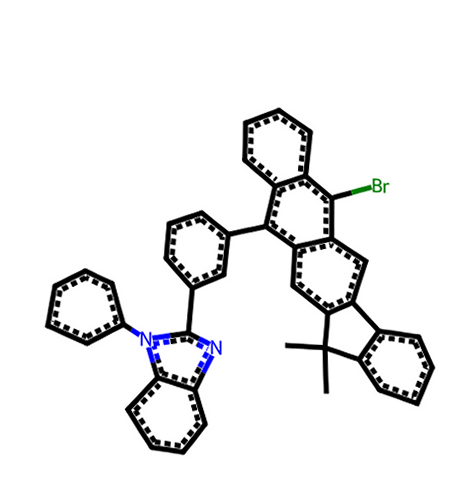 CC1(C)c2ccccc2-c2cc3c(Br)c4ccccc4c(-c4cccc(-c5nc6ccccc6n5-c5ccccc5)c4)c3cc21